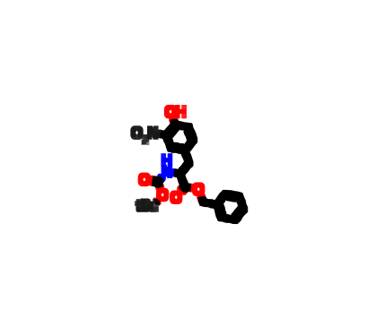 CC(C)(C)OC(=O)NC(Cc1ccc(O)c([N+](=O)[O-])c1)C(=O)OCc1ccccc1